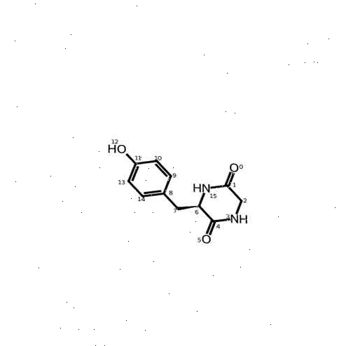 O=C1CNC(=O)[C@@H](Cc2ccc(O)cc2)N1